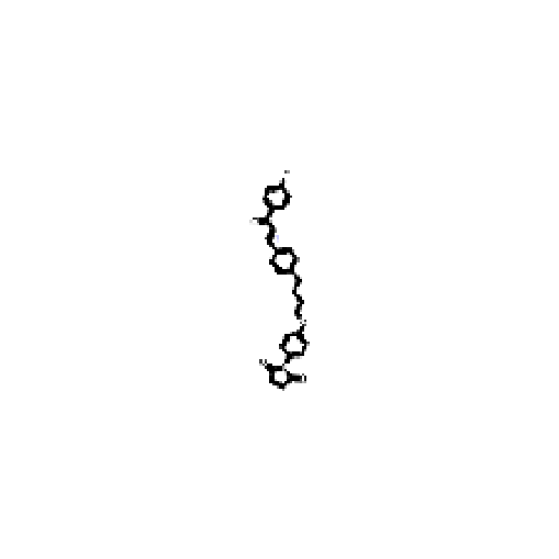 O=C(/C=C/c1ccc(CCCCOc2ccc(N3C(=O)C=CC3=O)cc2)cc1)c1ccc(F)cc1